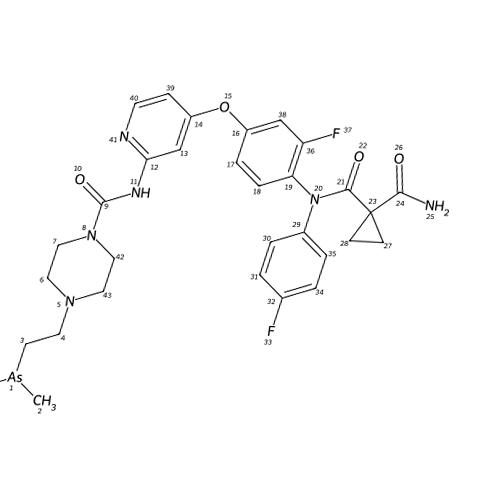 C[As](C)CCN1CCN(C(=O)Nc2cc(Oc3ccc(N(C(=O)C4(C(N)=O)CC4)c4ccc(F)cc4)c(F)c3)ccn2)CC1